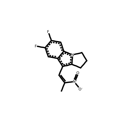 CC(=Cc1c2n(c3cc(F)c(F)cc13)CCC2)[N+](=O)[O-]